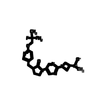 C[S+]([O-])C1CN(c2ncc(N3CCC(Cc4ccc(OCC(C)(F)P)nc4)C3=O)cn2)C1